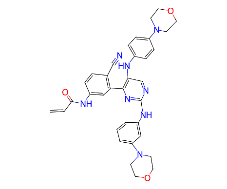 C=CC(=O)Nc1ccc(C#N)c(-c2nc(Nc3cccc(N4CCOCC4)c3)ncc2Nc2ccc(N3CCOCC3)cc2)c1